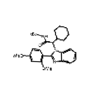 COc1ccc(-c2nc3ccccc3n2C(C(=O)NC(C)(C)C)C2CCCCC2)c(OC)c1